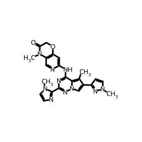 Cc1c(-c2ccn(C)n2)cn2nc(-c3nccn3C)nc(Nc3cc4c(cn3)N(C)C(=O)CO4)c12